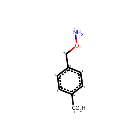 NOCc1ccc(C(=O)O)cc1